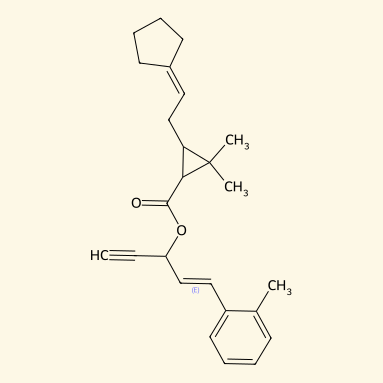 C#CC(/C=C/c1ccccc1C)OC(=O)C1C(CC=C2CCCC2)C1(C)C